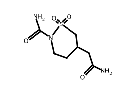 NC(=O)CC1CCN(C(N)=O)S(=O)(=O)C1